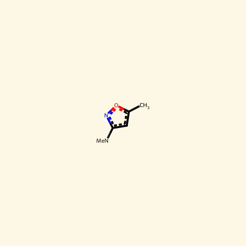 [CH]Nc1cc(C)on1